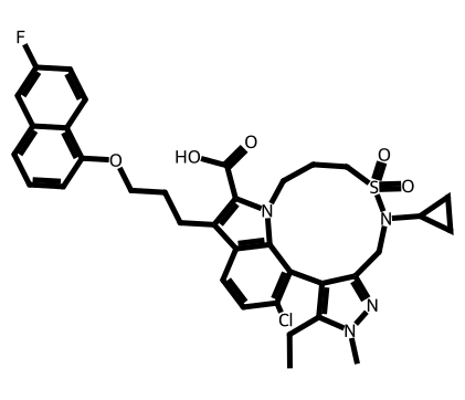 CCc1c2c(nn1C)CN(C1CC1)S(=O)(=O)CCCn1c(C(=O)O)c(CCCOc3cccc4cc(F)ccc34)c3ccc(Cl)c-2c31